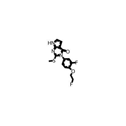 CSc1nc2[nH]ccc2c(=O)n1-c1ccc(OCCF)c(F)c1